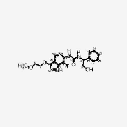 COCCOc1n[nH]c2c(F)c(NC(=O)N[C@H](CO)c3ccccc3)ncc12